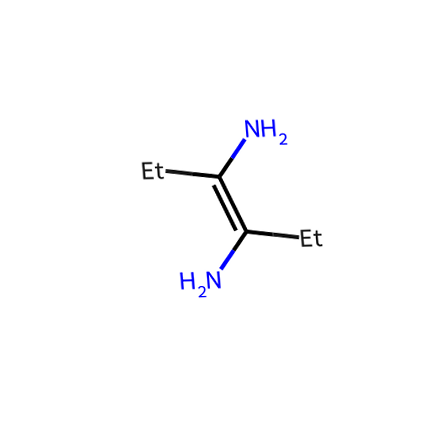 CCC(N)=C(N)CC